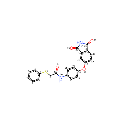 O=C(CSc1ccccc1)Nc1ccc(Oc2ccc3c(c2)C(=O)NC3=O)cc1